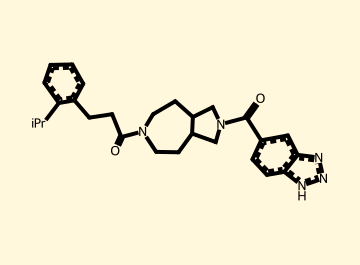 CC(C)c1ccccc1CCC(=O)N1CCC2CN(C(=O)c3ccc4[nH]nnc4c3)CC2CC1